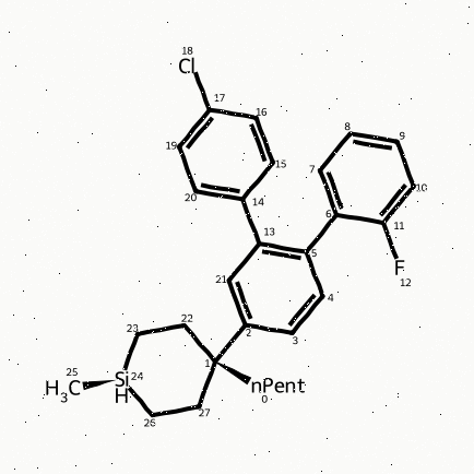 CCCCC[C@]1(c2ccc(-c3ccccc3F)c(-c3ccc(Cl)cc3)c2)CC[Si@H](C)CC1